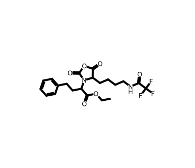 CCOC(=O)C(CCc1ccccc1)N1C(=O)OC(=O)C1CCCCNC(=O)C(F)(F)F